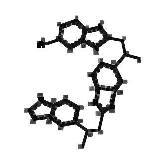 CC(C)c1ccc2sc(CC(C)c3ccc4nc(CC(C)c5ccc6nccn6c5)sc4c3)nc2c1